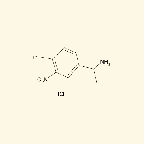 CC(C)c1ccc(C(C)N)cc1[N+](=O)[O-].Cl